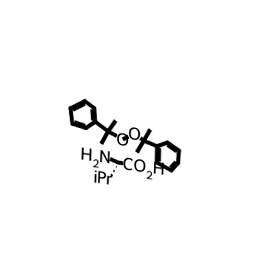 CC(C)(OOC(C)(C)c1ccccc1)c1ccccc1.CC(C)[C@H](N)C(=O)O